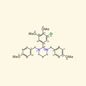 COc1ccc(CN2CCCN(Cc3ccc(OC)cc3)C2c2cc(Br)c(OC)c(OC)c2)cc1